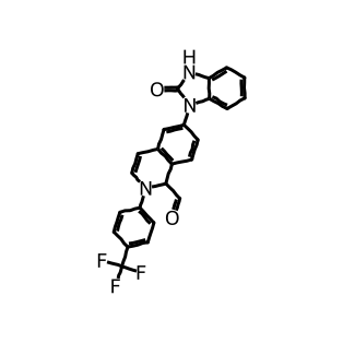 O=CC1c2ccc(-n3c(=O)[nH]c4ccccc43)cc2C=CN1c1ccc(C(F)(F)F)cc1